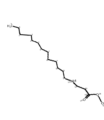 CCCCCCCCCCCCCNCCC(=O)OC